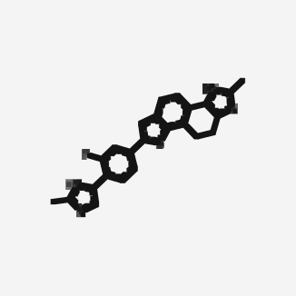 Cc1ncc(-c2ccc(-c3cc4ccc5c(c4s3)CCc3nc(C)[nH]c3-5)cc2F)[nH]1